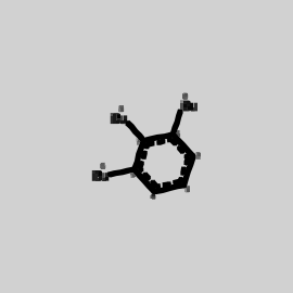 CCC(C)c1cccc(C(C)CC)c1C(C)CC